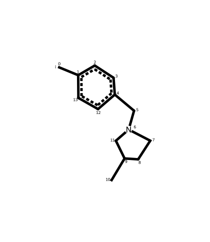 [CH]c1ccc(CN2CCC(C)C2)cc1